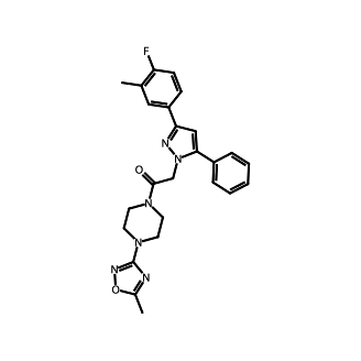 Cc1nc(N2CCN(C(=O)Cn3nc(-c4ccc(F)c(C)c4)cc3-c3ccccc3)CC2)no1